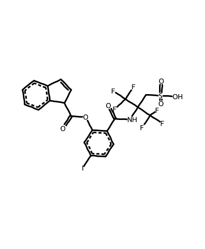 O=C(NC(CS(=O)(=O)O)(C(F)(F)F)C(F)(F)F)c1ccc(I)cc1OC(=O)C1C=Cc2ccccc21